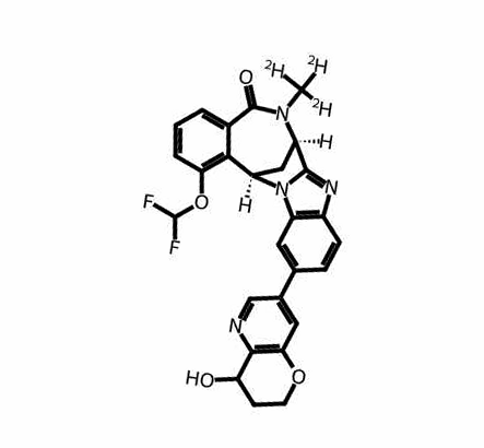 [2H]C([2H])([2H])N1C(=O)c2cccc(OC(F)F)c2[C@H]2C[C@@H]1c1nc3ccc(-c4cnc5c(c4)OCCC5O)cc3n12